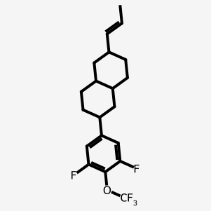 CC=CC1CCC2CC(c3cc(F)c(OC(F)(F)F)c(F)c3)CCC2C1